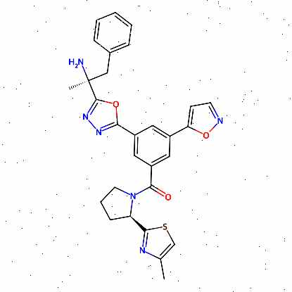 Cc1csc([C@H]2CCCN2C(=O)c2cc(-c3ccno3)cc(-c3nnc([C@@](C)(N)Cc4ccccc4)o3)c2)n1